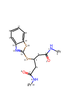 CC(C)NC(=O)CC(CC(=O)NC(C)C)Sc1nc2ccccc2s1